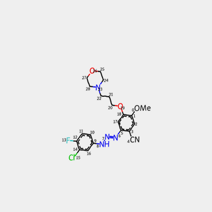 COc1cc(C#N)c(/N=N/Nc2ccc(F)c(Cl)c2)cc1OCCCN1CCOCC1